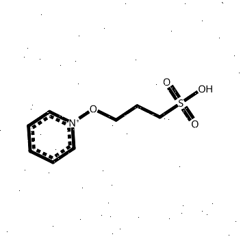 O=S(=O)(O)CCCO[n+]1ccccc1